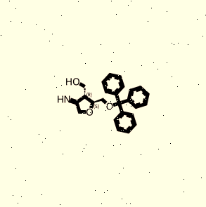 N=C1CO[C@H](COC(c2ccccc2)(c2ccccc2)c2ccccc2)[C@H]1CO